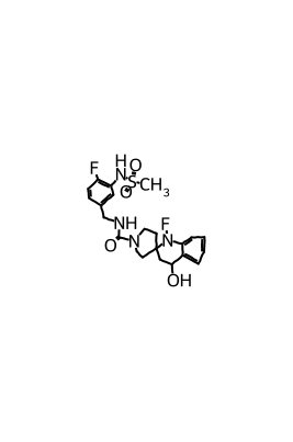 CS(=O)(=O)Nc1cc(CNC(=O)N2CCC3(CC2)CC(O)c2ccccc2N3F)ccc1F